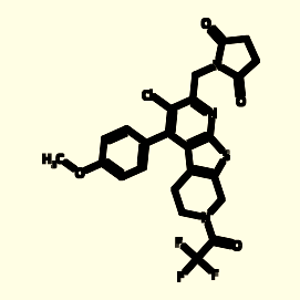 COc1ccc(-c2c(Cl)c(CN3C(=O)CCC3=O)nc3sc4c(c23)CCN(C(=O)C(F)(F)F)C4)cc1